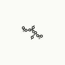 Cc1ccc(CCc2c(-c3ccc4sc5ccccc5c4c3)ccc3cc(N(c4ccc(C)cc4)c4ccc(-c5ccc6sc7ccccc7c6c5)cc4)ccc23)cc1